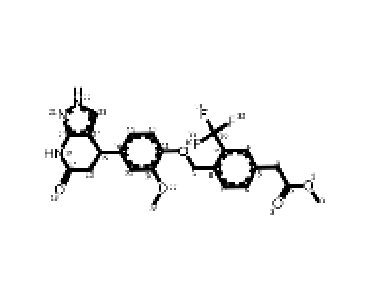 COC(=O)Cc1ccc(COc2ccc(C3CC(=O)Nc4n[nH]cc43)cc2OC)c(C(F)(F)F)c1